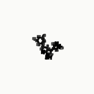 CC1=C=C(c2cnc3c(c2)C(c2cnn(C)c2)CN3S)CC(C)C1